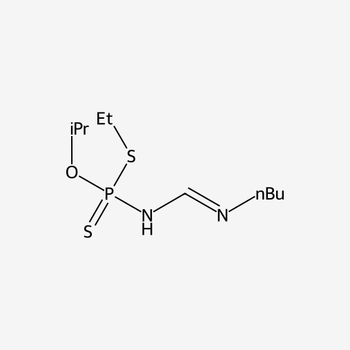 CCCCN=CNP(=S)(OC(C)C)SCC